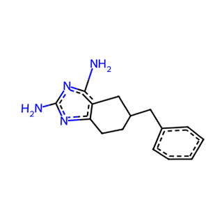 Nc1nc(N)c2c(n1)CCC(Cc1ccccc1)C2